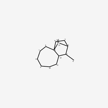 CC1C2CCC3(CCCCCCC13)P2